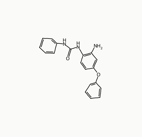 Nc1cc(Oc2ccccc2)ccc1NC(=O)Nc1ccccc1